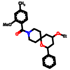 CCOC1CC(c2ccccc2)OC2(CCN(C(=O)c3ccc(C)cc3OC)CC2)C1